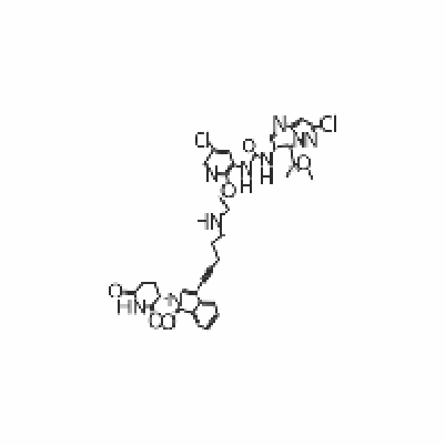 CO[C@@H](C)c1c(NC(=O)Nc2cc(Cl)cnc2OCCNCCCC#Cc2cn(C3CCC(=O)NC3=O)c(=O)c3ccccc23)cnc2cc(Cl)nn12